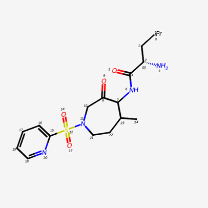 CC(C)C[C@H](N)C(=O)NC1C(=O)CN(S(=O)(=O)c2ccccn2)CCC1C